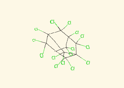 ClC1(Cl)[C]2C(Cl)(Cl)C3(Cl)C(Cl)(Cl)C1(Cl)C(Cl)(Cl)C(Cl)(C2(Cl)Cl)C3(Cl)Cl